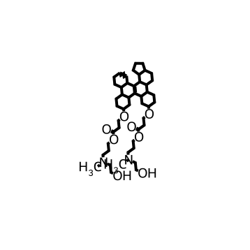 CN(CCO)CCCOC(=O)CCOC1CCC2C(C1)C1=C(C3C4CCCC4CCC23)C2C3CCCC3CCC2C2CCC(OCCC(=O)OCCCN(C)CCO)CC12